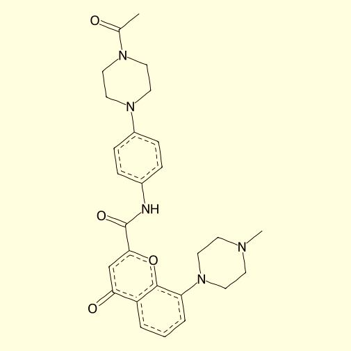 CC(=O)N1CCN(c2ccc(NC(=O)c3cc(=O)c4cccc(N5CCN(C)CC5)c4o3)cc2)CC1